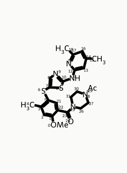 COc1cc(C)c(Sc2cnc(Nc3cc(C)cc(C)n3)s2)cc1C(=O)N1CCN(C(C)=O)CC1